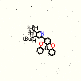 [2H]C([2H])([2H])c1cnc(-c2ccc3c4c2Oc2ccccc2B4c2ccccc2O3)cc1C([2H])([2H])C(C)(C)C